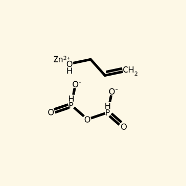 C=CCO.O=[PH]([O-])O[PH](=O)[O-].[Zn+2]